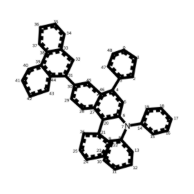 c1ccc(-c2cc(N(c3ccccc3)c3ccccc3)c(-c3ccccc3)c3ccc(-c4cc5ccccc5c5ccccc45)cc23)cc1